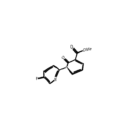 COC(=O)c1cccn(-c2ccc(F)cn2)c1=O